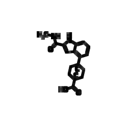 CNC(=O)c1cc2c(C34CCC(C(=O)O)(CC3)CC4)cccc2[nH]1